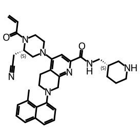 C=CC(=O)N1CCN(c2cc(C(=O)NC[C@H]3CCCNC3)nc3c2CCN(c2cccc4cccc(C)c24)C3)C[C@@H]1CC#N